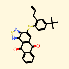 C=CCc1cc(C(C)(C)C)ccc1Sc1cc2c(c3nsnc13)C(=O)c1ccccc1C2=O